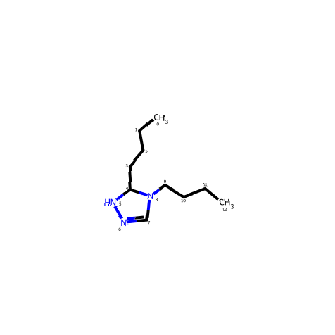 CCCCC1NN=CN1CCCC